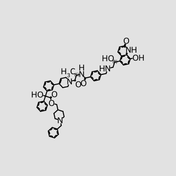 C[C@H](NC(=O)c1ccc(CNC[C@H](O)c2ccc(O)c3[nH]c(=O)ccc23)cc1)C(=O)N1CC=C(c2cccc(C(O)(C(=O)OCC3CCN(Cc4ccccc4)CC3)c3ccccc3)c2)CC1